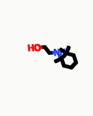 CC1(C)CCCCC1(C)NCCO